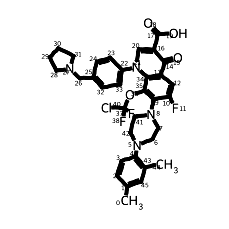 Cc1ccc(N2CCN(c3c(F)cc4c(=O)c(C(=O)O)cn(-c5ccc(CN6CCCC6)cc5)c4c3OC(F)(F)Cl)CC2)c(C)c1